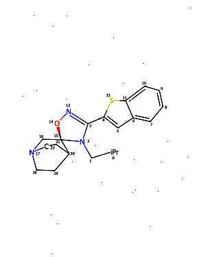 CC(C)CN1C(c2cc3ccccc3s2)=NO[C@@]12CN1CCC2CC1